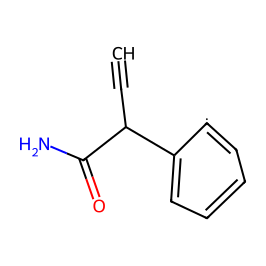 C#CC(C(N)=O)c1[c]cccc1